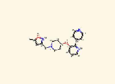 Cc1cc(CN2CCC(Oc3cccnc3-c3ccncc3)CC2)no1